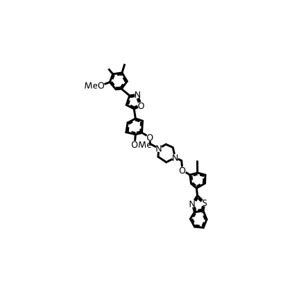 COc1ccc(-c2cc(-c3cc(C)c(C)c(OC)c3)no2)cc1OCN1CCN(COc2cc(-c3nc4ccccc4s3)ccc2C)CC1